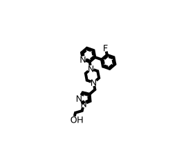 OCCn1cc(CN2CCN(c3ncccc3-c3ccccc3F)CC2)cn1